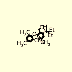 CCC(CC)Nc1cc(C)nc(Oc2c(C)cc(C)cc2C)c1CCl